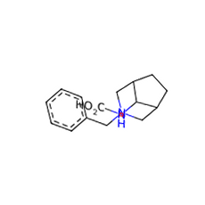 O=C(O)NC1C2CCC1CN(Cc1ccccc1)C2